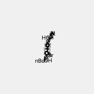 CCCCC(O)COc1ccc(C(C)(C)c2ccc(OCC(O)Cn3ccnc3)cc2)cc1Br